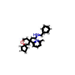 Cc1cccc(C2(CCNCc3ccccc3)CCOC3(CCCC3)C2)n1